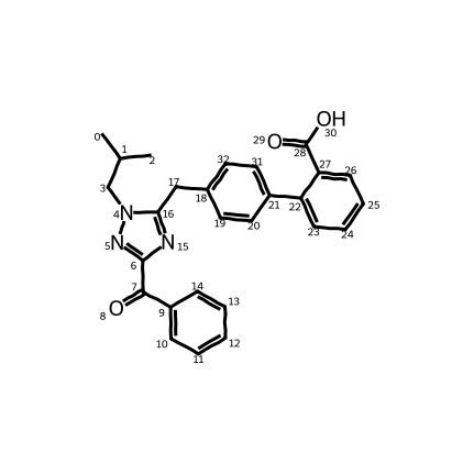 CC(C)Cn1nc(C(=O)c2ccccc2)nc1Cc1ccc(-c2ccccc2C(=O)O)cc1